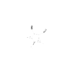 C#CC1C(C#C)N(C)C(=O)N1C